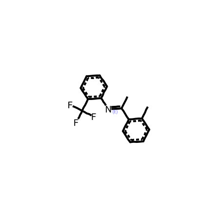 C/C(=N\c1ccccc1C(F)(F)F)c1ccccc1C